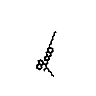 CCCCCCCCc1ccc2cc3cc(C=C(c4cccc5ccccc45)C(CC)CCCCC)ccc3cc2c1